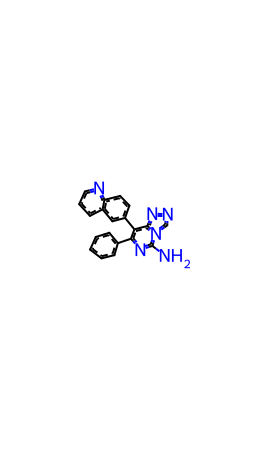 Nc1nc(-c2ccccc2)c(-c2ccc3ncccc3c2)c2nncn12